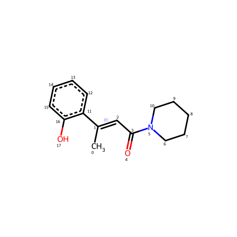 C/C(=C\C(=O)N1CCCCC1)c1ccccc1O